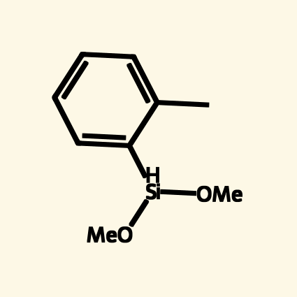 CO[SiH](OC)c1ccccc1C